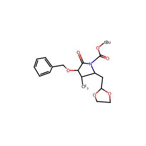 CC(C)(C)OC(=O)N1C(=O)C(OCc2ccccc2)C(C(F)(F)F)C1CC1OCCO1